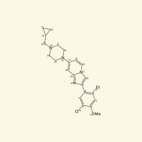 CCc1cc(OC)c(Cl)cc1-c1cn2ccc(N3CCN(SC4CC4)CC3)cc2n1